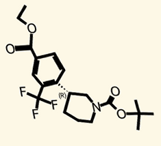 CCOC(=O)c1ccc([C@H]2CCCN(C(=O)OC(C)(C)C)C2)c(C(F)(F)F)c1